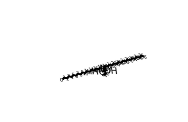 CCCCCCCCCCCCCCCCCCN(CCCCCCCCCCCCCCCCCC)C(O)(O)CC